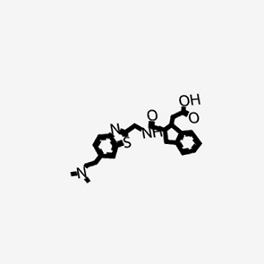 CN(C)CCc1ccc2nc(CNC(=O)C3Cc4ccccc4C3CC(=O)O)sc2c1